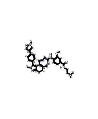 COc1cc(C(=O)NCCN(C)C)ccc1NC1=C/C=C/C2=C(/C=N\1)CCc1nn(C)c(-c3ccc(-c4cnn(C)c4)cc3)c12